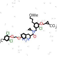 CCOC(=O)C1CC1COc1cc(CCCOC)cc(CN(C(=O)C(CN)Cc2ccc(OCCOc3c(Cl)cc(C)cc3Cl)cc2)C2CC2)c1Cl